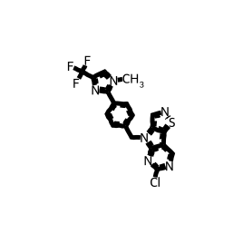 Cn1cc(C(F)(F)F)nc1-c1ccc(Cn2c3cnsc3c3cnc(Cl)nc32)cc1